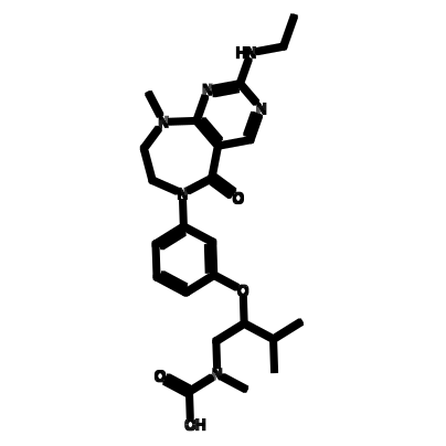 CCNc1ncc2c(n1)N(C)CCN(c1cccc(OC(CN(C)C(=O)O)C(C)C)c1)C2=O